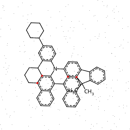 CC1(C)c2ccccc2-c2ccc(N(c3ccc(C4CCCCC4)cc3C3CCCCC3)c3ccc4ccccc4c3-c3cccc4ccccc34)cc21